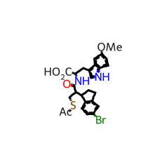 COc1ccc2[nH]cc(CC(NC(=O)C(CSC(C)=O)C3CCc4cc(Br)ccc43)C(=O)O)c2c1